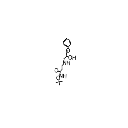 CC(C)(C)ONC(=O)CCNCC(O)COc1ccccc1